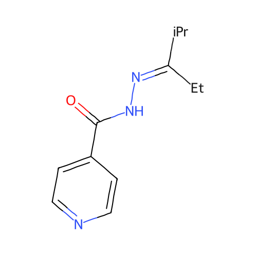 CC/C(=N\NC(=O)c1ccncc1)C(C)C